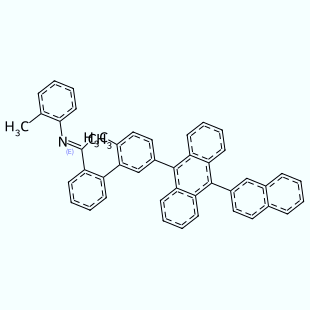 C/C(=N\c1ccccc1C)c1ccccc1-c1cc(-c2c3ccccc3c(-c3ccc4ccccc4c3)c3ccccc23)ccc1C